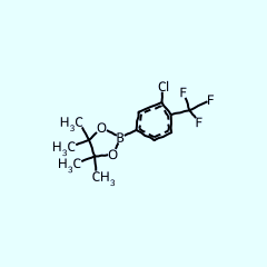 CC1(C)OB(c2ccc(C(F)(F)F)c(Cl)c2)OC1(C)C